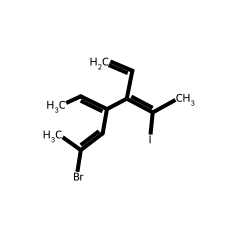 C=CC(=C(\C)I)/C(/C=C(\C)Br)=C/C